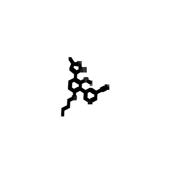 CCCCOc1ccc(-c2cc(C)n[nH]2)c(OI)c1-c1cncc(C#N)c1